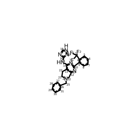 FC(F)(F)c1ccccc1-c1nc2c(c(Nc3nc[nH]n3)n1)CCN(Cc1ccccc1)C2